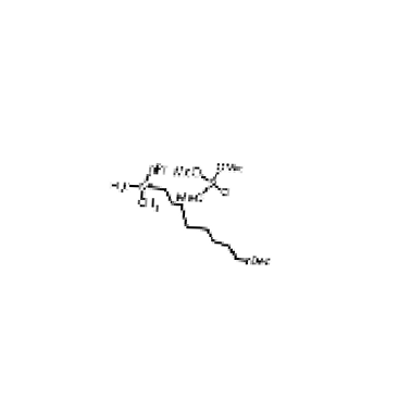 CCCCCCCCCCCCCCCCCC[N+](C)(C)CCC.CO[Si](Cl)(OC)OC